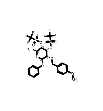 COc1ccc(CO[C@H]2[C@@H](OS(=O)(=O)C(F)(F)F)[C@@H](OS(=O)(=O)C(F)(F)F)[C@H](C)O[C@@H]2Sc2ccccc2)cc1